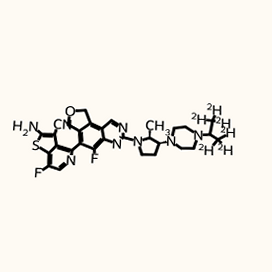 [2H]C([2H])([2H])C(N1CCN([C@H]2CCN(c3ncc4c5c(c(-c6ncc(F)c7sc(N)c(C#N)c67)c(F)c4n3)COC5)[C@H]2C)CC1)C([2H])([2H])[2H]